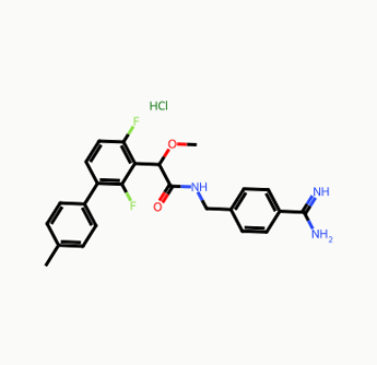 COC(C(=O)NCc1ccc(C(=N)N)cc1)c1c(F)ccc(-c2ccc(C)cc2)c1F.Cl